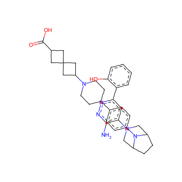 Nc1nnc(-c2ccccc2O)cc1N1CC2CCC(C1)N2c1ccc(C2CCN(C3CC4(CC(C(=O)O)C4)C3)CC2)cc1